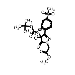 COC(=O)CN1N=C(c2ccc(S(C)(=O)=O)cc2)C(C)(N(O)C(=O)OC(C)(C)C)C1=O